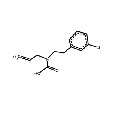 C=CCN(CCc1cccc(Cl)c1)C(=O)O